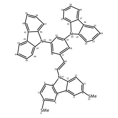 CSc1ccc2c(c1)c1cc(SC)ccc1n2/C=C/c1cc(-n2c3ccccc3c3ccccc32)cc(-n2c3ccccc3c3ccccc32)c1